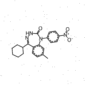 Cc1ccc2c(c1)N(c1ccc([N+](=O)[O-])cc1)C(=O)NN=C2C1CCCCC1